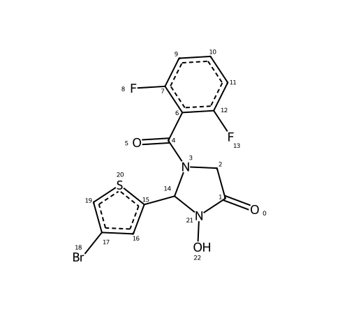 O=C1CN(C(=O)c2c(F)cccc2F)C(c2cc(Br)cs2)N1O